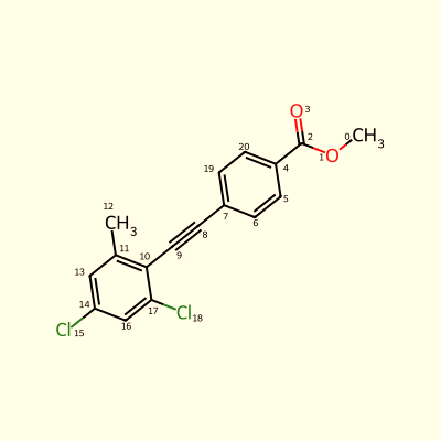 COC(=O)c1ccc(C#Cc2c(C)cc(Cl)cc2Cl)cc1